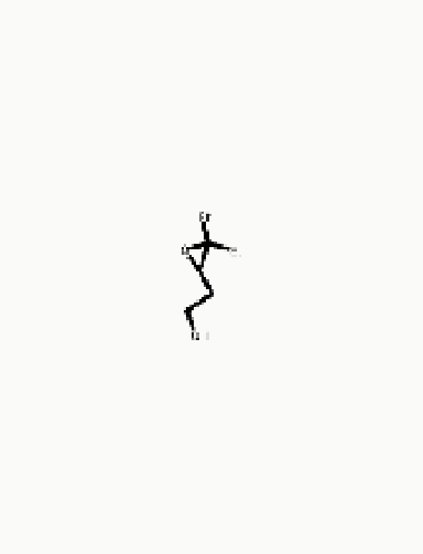 CCC1(CC)OC1CCO